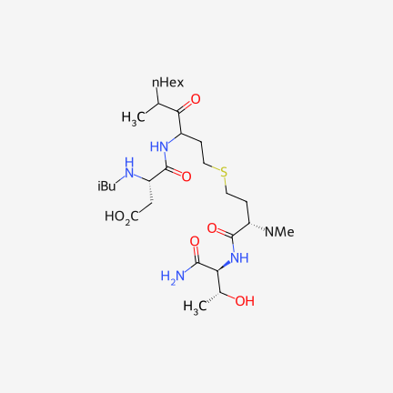 CCCCCCC(C)C(=O)C(CCSCC[C@H](NC)C(=O)N[C@H](C(N)=O)[C@@H](C)O)NC(=O)[C@H](CC(=O)O)NC(C)CC